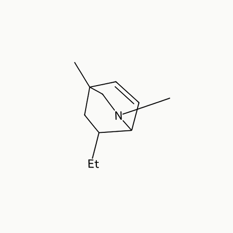 CCC1CC2(C)C=CC1N(C)C2